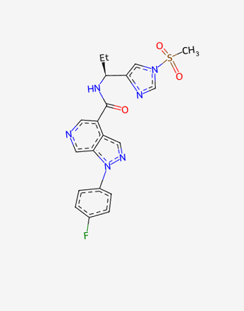 CC[C@H](NC(=O)c1cncc2c1cnn2-c1ccc(F)cc1)c1cn(S(C)(=O)=O)cn1